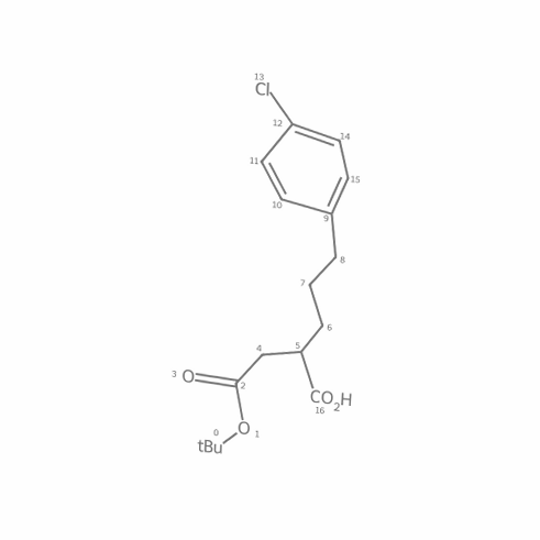 CC(C)(C)OC(=O)CC(CCCc1ccc(Cl)cc1)C(=O)O